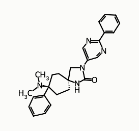 CN(C)[C@]1(c2ccccc2)CC[C@]2(CC1)CN(c1cnc(-c3ccccc3)nc1)C(=O)N2